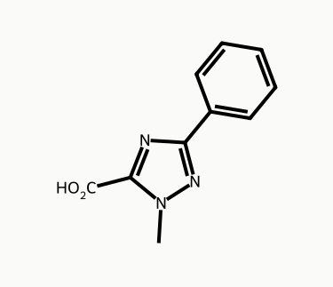 Cn1nc(-c2ccccc2)nc1C(=O)O